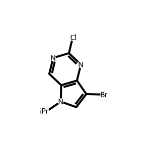 CC(C)n1cc(Br)c2nc(Cl)ncc21